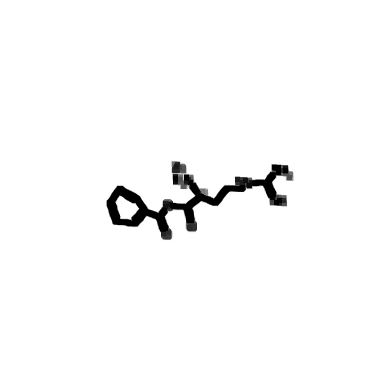 N=C(N)NCCC[C@H](N)C(=O)OC(=O)c1ccccc1.[Zn]